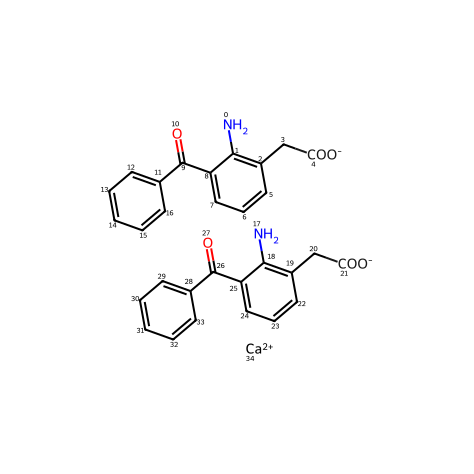 Nc1c(CC(=O)[O-])cccc1C(=O)c1ccccc1.Nc1c(CC(=O)[O-])cccc1C(=O)c1ccccc1.[Ca+2]